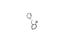 Brc1ccccc1CC[C@H]1C=CCCC1